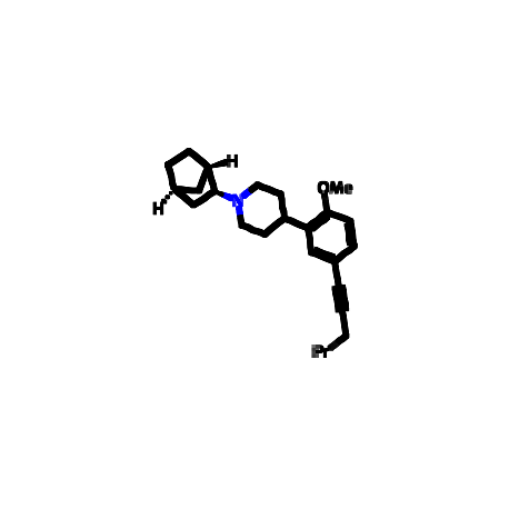 COc1ccc(C#CCC(C)C)cc1C1CCN([C@H]2C[C@H]3CC[C@H]2C3)CC1